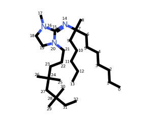 CCCCCCCC(C)(CCCCC)N=C1N(C)CCN1CCCC(C)(C)CC(C)(C)CC